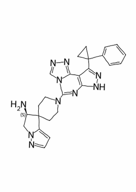 N[C@@H]1Cn2nccc2C12CCN(c1nc3[nH]nc(C4(c5ccccc5)CC4)c3c3nncn13)CC2